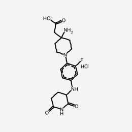 Cl.NC1(CC(=O)O)CCN(c2ccc(NC3CCC(=O)NC3=O)cc2F)CC1